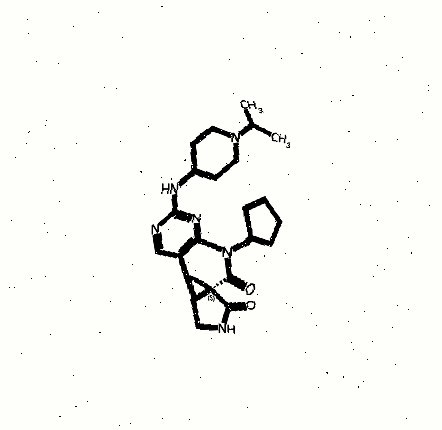 CC(C)N1CCC(Nc2ncc3c(n2)N(C2CCCC2)C(=O)[C@]24C(=O)NCC2C34)CC1